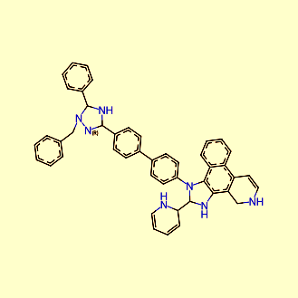 C1=CNC(C2Nc3c4c(c5ccccc5c3N2c2ccc(-c3ccc(C5NC(c6ccccc6)N6C(c7ccccc7)[N@]56)cc3)cc2)C=CNC4)C=C1